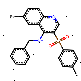 CCc1ccc2ncc(S(=O)(=O)c3ccc(C)cc3)c(NCc3ccccc3)c2c1